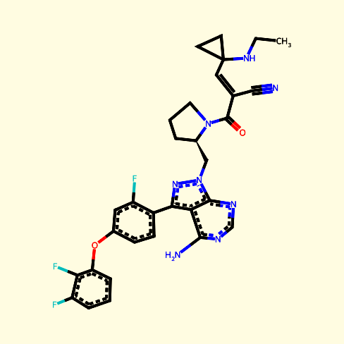 CCNC1(/C=C(\C#N)C(=O)N2CCC[C@@H]2Cn2nc(-c3ccc(Oc4cccc(F)c4F)cc3F)c3c(N)ncnc32)CC1